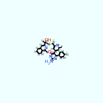 Cc1cc(-c2c(OCc3nc(C(C)(C)O)cc4ccccc34)nc(N)nc2-c2ccc(F)cc2)cc(C(F)F)n1